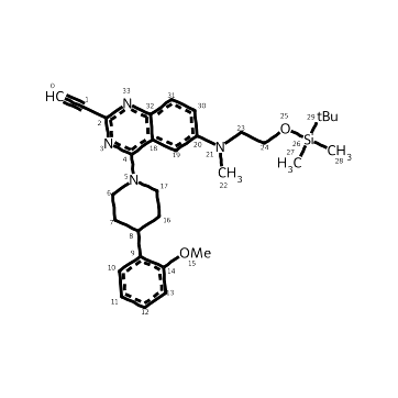 C#Cc1nc(N2CCC(c3ccccc3OC)CC2)c2cc(N(C)CCO[Si](C)(C)C(C)(C)C)ccc2n1